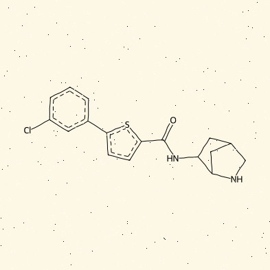 O=C(NC1CC2CNC1C2)c1ccc(-c2cccc(Cl)c2)s1